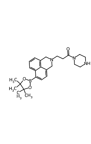 CC1(C)OB(c2ccc3c4c(cccc24)CN(CCC(=O)N2CCNCC2)C3)OC1(C)C